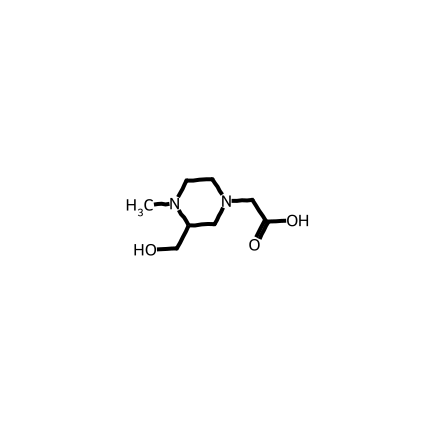 CN1CCN(CC(=O)O)CC1CO